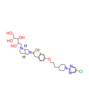 O=C(Cc1ccc(OCCCC2CCN(c3ncc(Cl)cn3)CC2)cc1F)N1C[C@H]2CCN(CC(O)C(O)C(O)CO)[C@H]2C1